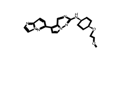 COCCO[C@H]1CC[C@@H](Nc2ncc3c(-c4ccc5nccn5n4)ccn3n2)CC1